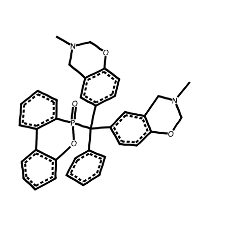 CN1COc2ccc(C(c3ccccc3)(c3ccc4c(c3)CN(C)CO4)P3(=O)Oc4ccccc4-c4ccccc43)cc2C1